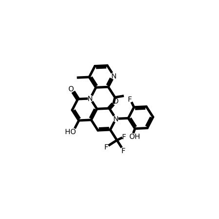 Cc1ccnc(C(C)C)c1-n1c(=O)cc(O)c2cc(C(F)(F)F)n(-c3c(O)cccc3F)c(=O)c21